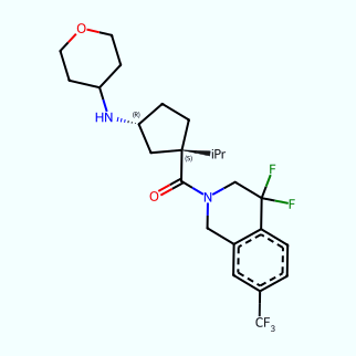 CC(C)[C@]1(C(=O)N2Cc3cc(C(F)(F)F)ccc3C(F)(F)C2)CC[C@@H](NC2CCOCC2)C1